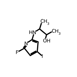 CC(O)C(C)Nc1cc(I)cc(F)n1